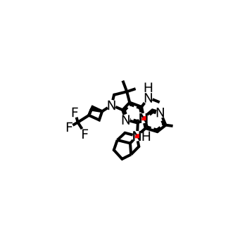 CNc1nc(NC2C3CCC2CN(c2cc(C)ncn2)C3)nc2c1C(C)(C)CN2C12CC(C(F)(F)F)(C1)C2